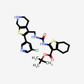 CC(C)(C)OC(=O)c1c(NC(=O)NCc2c(-c3cncc(Cl)c3)sc3c2CCNC3)sc2c1CCCC2